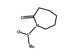 CCC(C)[S+]([O-])N1CCCCCC1=O